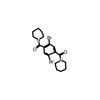 O=C(c1cc(Br)c(C(=O)N2CCCCC2)cc1Br)N1CCCCC1